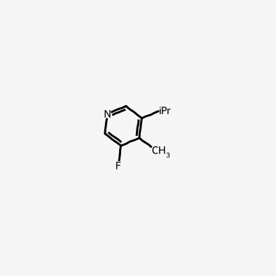 Cc1c(F)cncc1C(C)C